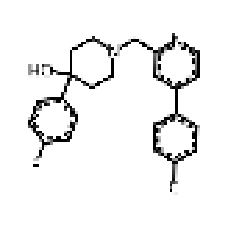 OC1(c2ccc(F)cc2)CCN(Cc2cc(-c3ccc(Cl)cc3)ccn2)CC1